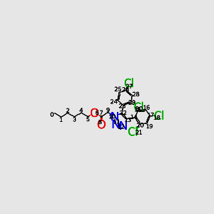 CCCCCCOC(=O)Cn1nnc(-c2ccc(Cl)cc2Cl)c1-c1ccc(Cl)cc1Cl